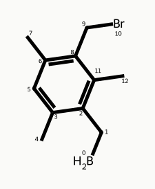 BCc1c(C)cc(C)c(CBr)c1C